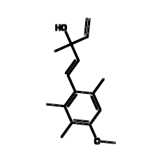 C=CC(C)(O)C=Cc1c(C)cc(OC)c(C)c1C